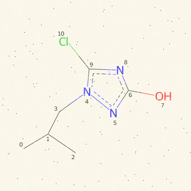 CC(C)Cn1nc(O)nc1Cl